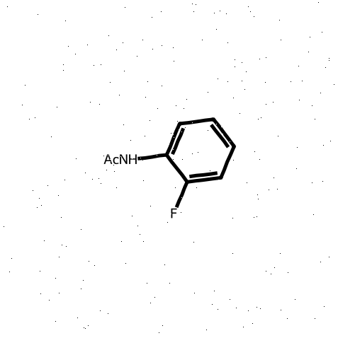 [CH2]C(=O)Nc1ccccc1F